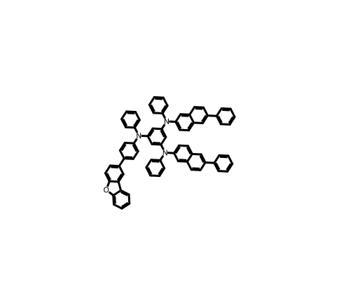 c1ccc(-c2ccc3cc(N(c4ccccc4)c4cc(N(c5ccccc5)c5ccc(-c6ccc7oc8ccccc8c7c6)cc5)cc(N(c5ccccc5)c5ccc6cc(-c7ccccc7)ccc6c5)c4)ccc3c2)cc1